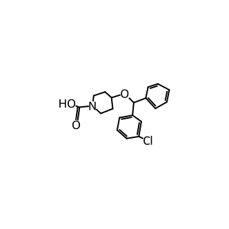 O=C(O)N1CCC(OC(c2ccccc2)c2cccc(Cl)c2)CC1